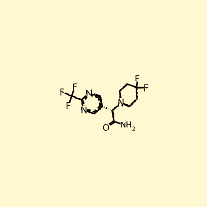 NC(=O)[C@H](c1cnc(C(F)(F)F)nc1)N1CCC(F)(F)CC1